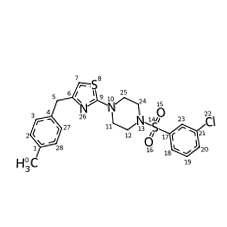 Cc1ccc(Cc2csc(N3CCN(S(=O)(=O)c4cccc(Cl)c4)CC3)n2)cc1